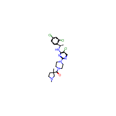 C[C@@H](Nc1nc(N2CCN(C(=O)C3(C)CCN(C)C3)CC2)ncc1Cl)c1ccc(Cl)cc1Cl